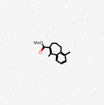 COC(=O)C1=C(C)c2cccc(C)c2CCC1